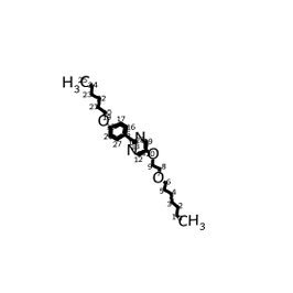 CCCCCCCOCCOc1cnc(-c2ccc(OCCCCCC)cc2)nc1